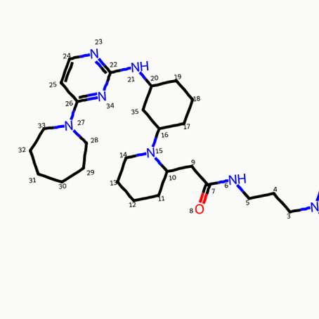 CN(C)CCCNC(=O)CC1CCCCN1C1CCCC(Nc2nccc(N3CCCCCC3)n2)C1